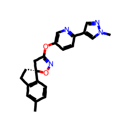 Cc1ccc2c(c1)CC[C@@]21CC(Oc2ccc(-c3cnn(C)c3)nc2)=NO1